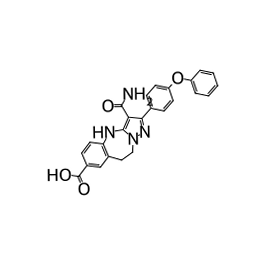 NC(=O)c1c(-c2ccc(Oc3ccccc3)cc2)nn2c1Nc1ccc(C(=O)O)cc1CC2